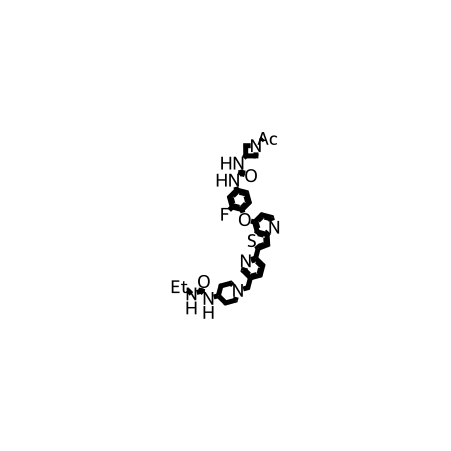 CCNC(=O)NC1CCN(Cc2ccc(-c3cc4nccc(Oc5ccc(NC(=O)NC6CN(C(C)=O)C6)cc5F)c4s3)nc2)CC1